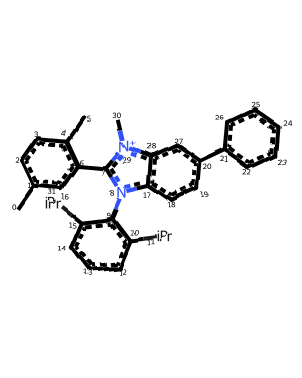 Cc1ccc(C)c(-c2n(-c3c(C(C)C)cccc3C(C)C)c3ccc(-c4ccccc4)cc3[n+]2C)c1